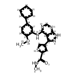 CNC(=O)c1cc(-c2n[nH]c3ncnc(Nc4cc(-c5ccccc5)ccc4OC)c23)cs1